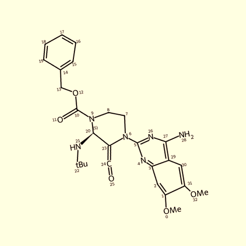 COc1cc2nc(N3CCN(C(=O)OCc4ccccc4)[C@H](NC(C)(C)C)C3=C=O)nc(N)c2cc1OC